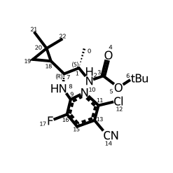 C[C@H](NC(=O)OC(C)(C)C)[C@H](Nc1nc(Cl)c(C#N)cc1F)C1CC1(C)C